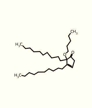 CCCCCCCCCCC1=CCC(=O)C1(CCCCCCCCCC)OCCCCC